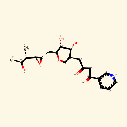 C[C@H]([C@@H]1O[C@H]1C[C@@H]1OC[C@H](CC(=O)CC(=O)c2cccnc2)[C@@H](O)[C@H]1O)[C@H](C)O